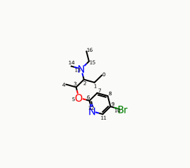 CCC(C(C)Oc1ccc(Br)cn1)N(C)CC